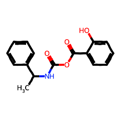 CC(NC(=O)OC(=O)c1ccccc1O)c1ccccc1